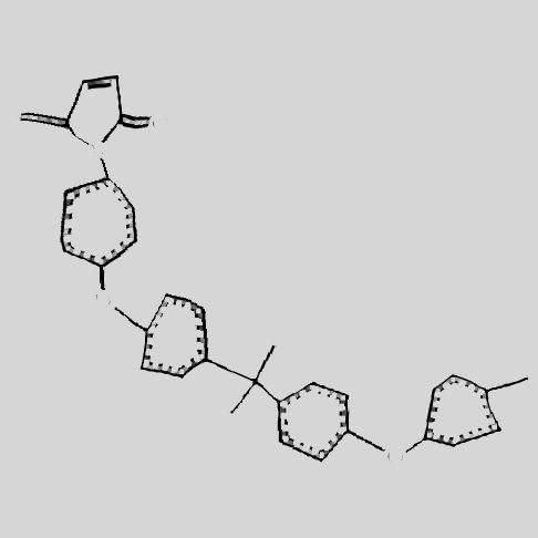 Cc1ccc(Oc2ccc(C(C)(C)c3ccc(Oc4ccc(N5C(=O)C=CC5=O)cc4)cc3)cc2)cc1